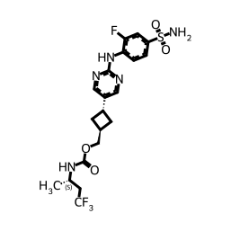 C[C@@H](CC(F)(F)F)NC(=O)OC[C@H]1C[C@H](c2cnc(Nc3ccc(S(N)(=O)=O)cc3F)nc2)C1